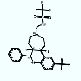 O=S(=O)(NC[C@H]1CC[C@@H]2[C@H](CC1)c1cc(C(F)(F)F)ccc1N[C@H]2c1ccccc1)C(F)(F)F